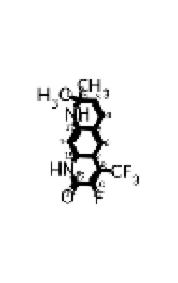 CC1(C)C=CC2=CC3C(C(F)(F)F)=C(F)C(=O)NC3C=C2N1